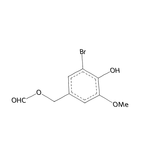 COc1cc(COC=O)cc(Br)c1O